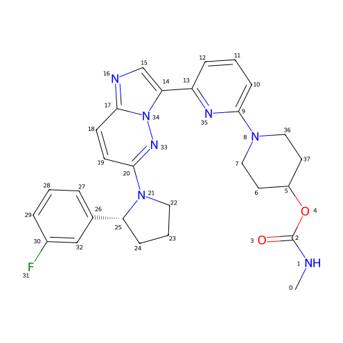 CNC(=O)OC1CCN(c2cccc(-c3cnc4ccc(N5CCC[C@@H]5c5cccc(F)c5)nn34)n2)CC1